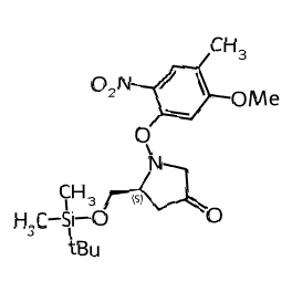 COc1cc(ON2CC(=O)C[C@H]2CO[Si](C)(C)C(C)(C)C)c([N+](=O)[O-])cc1C